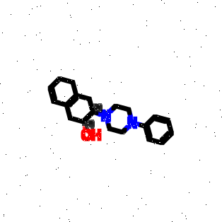 O[C@@H]1CC2=C(CCC=C2)C[C@H]1N1CCN(c2ccccc2)CC1